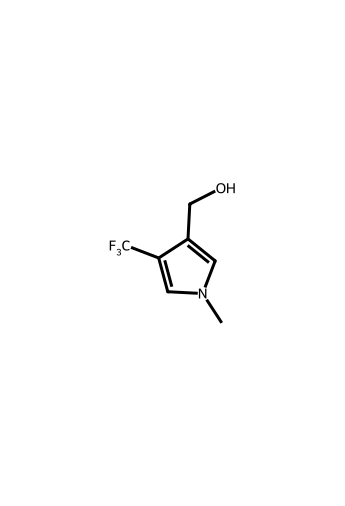 Cn1cc(CO)c(C(F)(F)F)c1